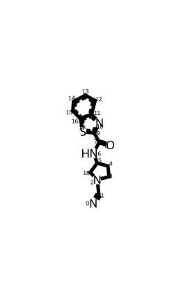 N#CN1CCC(NC(=O)c2nc3ccccc3s2)C1